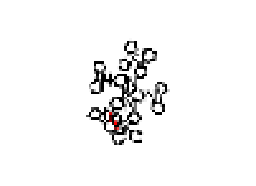 c1ccc([Si](c2ccccc2)(c2ccccc2)c2cccc(N3c4ccc(-n5c6ccccc6c6ccccc65)cc4B4c5ccc(-n6c7ccccc7c7ccccc76)cc5N(c5cccc([Si](c6ccccc6)(c6ccccc6)c6ccccc6)c5)c5cc(-n6c7ccccc7c7ccccc76)cc3c54)c2)cc1